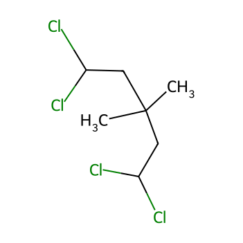 CC(C)(CC(Cl)Cl)CC(Cl)Cl